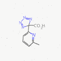 Cc1cccc(C2(C(=O)O)N=NN=N2)n1